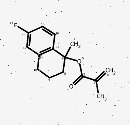 C=C(C)C(=O)OC1(C)CCCc2cc(F)ccc21